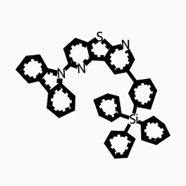 c1ccc([Si](c2ccccc2)(c2ccccc2)c2cccc(-c3cnc4sc5ccc(-n6c7ccccc7c7ccccc76)nc5c4c3)c2)cc1